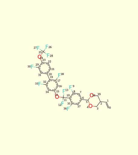 C=CC1COC(c2cc(F)c(C(F)(F)Oc3cc(F)c(-c4ccc(OC(F)(F)F)c(F)c4)c(F)c3)c(F)c2)OC1